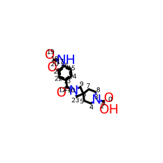 O=C(O)N1CCC2(CC1)CN(C(=O)c1ccc3[nH]c(=O)oc3c1)C2